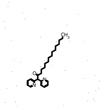 CCCCCCCCCCCCCCC(=O)C(c1ccccn1)c1ccccn1